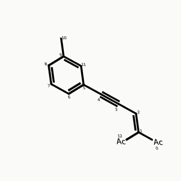 CC(=O)C(=CC#Cc1cccc(C)c1)C(C)=O